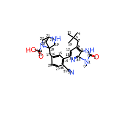 Cn1c(=O)[nH]c2c(CC(C)(C)C)cc(-c3cc(CC45CNC(CN4C(=O)O)C5)ccc3C#N)nc21